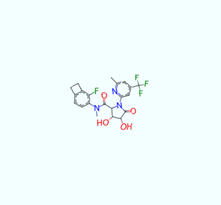 Cc1cc(C(F)(F)F)cc(N2C(=O)C(O)C(O)C2C(=O)N(C)c2ccc3c(c2F)CC3)n1